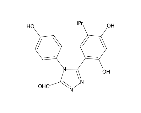 CC(C)c1cc(-c2nnc(C=O)n2-c2ccc(O)cc2)c(O)cc1O